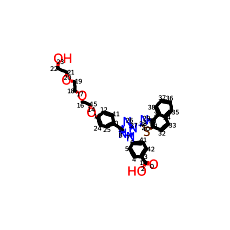 O=C(O)c1ccc(-n2nc(-c3ccc(OCCOCCOCCO)cc3)n[n+]2-c2nc3c(ccc4ccccc43)s2)cc1